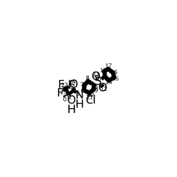 C[C@](O)(C(=O)Nc1ccc(S(=O)(=O)c2ccccc2)cc1Cl)C(F)(F)F